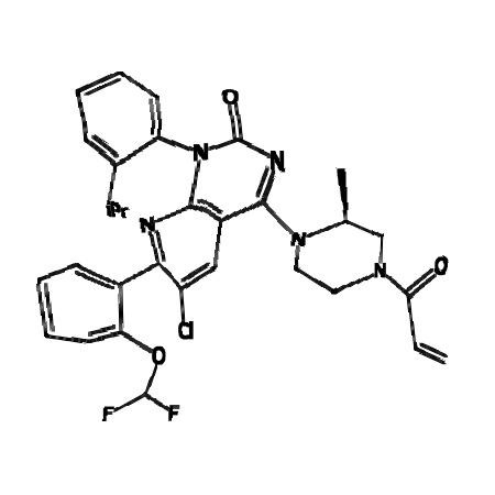 C=CC(=O)N1CCN(c2nc(=O)n(-c3ccccc3C(C)C)c3nc(-c4ccccc4OC(F)F)c(Cl)cc23)[C@@H](C)C1